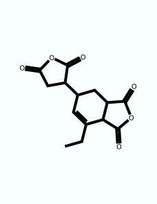 CCC1=CC(C2CC(=O)OC2=O)CC2C(=O)OC(=O)C12